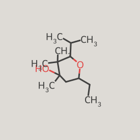 CCC1CC(C)(O)C(C)(C)C(C(C)C)O1